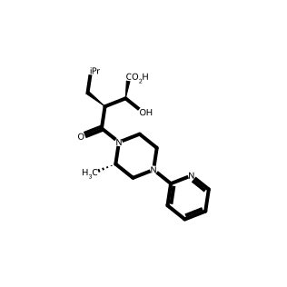 CC(C)C[C@H](C(=O)N1CCN(c2ccccn2)C[C@@H]1C)[C@H](O)C(=O)O